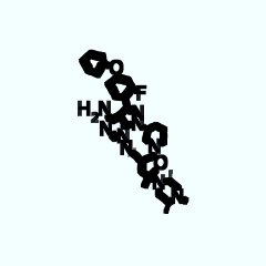 C[C@@H]1CN(C)[C@@H](C)CN1C(C)(C)/C=C(/C#N)C(=O)N1CCC[C@H](n2nc(-c3ccc(Oc4ccccc4)cc3F)c3c(N)ncnc32)C1